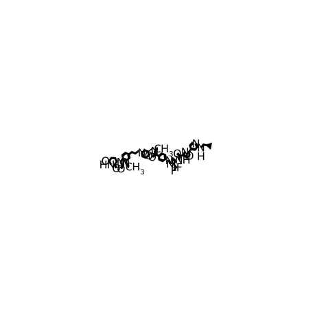 CN(C[C@@H]1CN(CCCc2ccc3c(c2)n(C)c(=O)n3C2CCC(=O)NC2=O)CCO1)C(=O)c1ccc(-n2cc(NC(=O)c3coc(-c4ccnc(NCC5CC5)c4)n3)c(C(F)F)n2)cc1